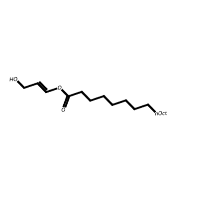 CCCCCCCCCCCCCCCC(=O)O/C=C/CO